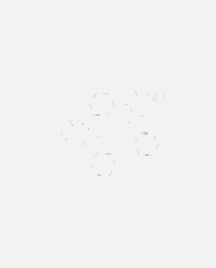 Cc1ccc(S(=O)(=O)N(C(N)=O)c2cccc(N(C(N)=O)S(=O)(=O)c3ccc(C)cc3)c2)cc1